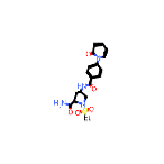 CCS(=O)(=O)N1CC(NC(=O)c2ccc(-n3ccccc3=O)cc2)[CH]C1C(N)=O